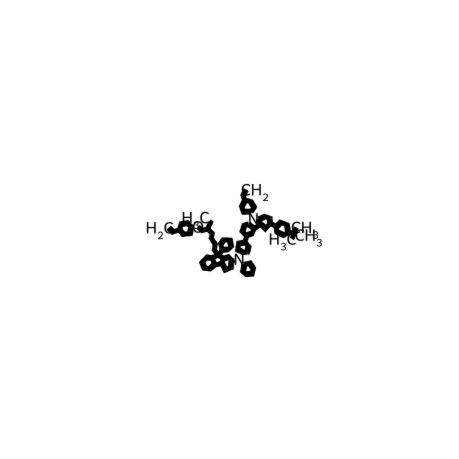 C=Cc1ccc(OCC(CC)CCCCC2(c3ccccc3)c3ccccc3-c3ccc(N(c4ccccc4)c4ccc(-c5ccc6c(c5)c5cc(-c7ccc(C(C)(C)C)cc7)ccc5n6-c5ccc(C=C)cc5)cc4)cc32)cc1